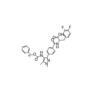 Cc1c(NC(=O)O[C@H](C)c2ccccc2)c(-c2ccc(C(=O)NC(Cc3ccc(F)c(F)c3)C(=O)O)cc2)nn1C